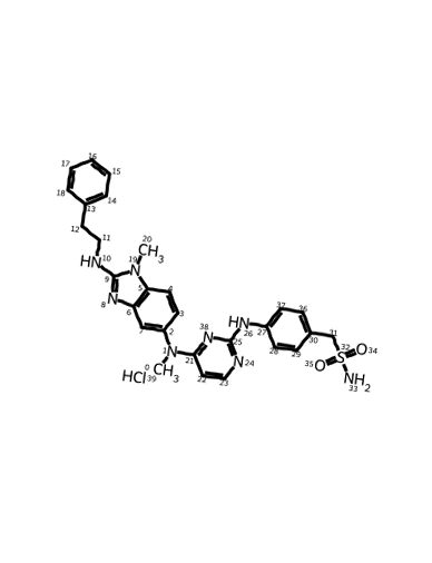 CN(c1ccc2c(c1)nc(NCCc1ccccc1)n2C)c1ccnc(Nc2ccc(CS(N)(=O)=O)cc2)n1.Cl